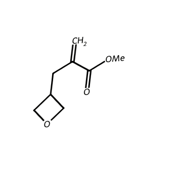 C=C(CC1COC1)C(=O)OC